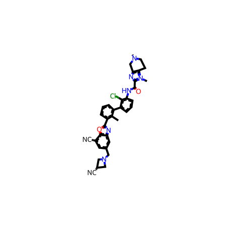 Cc1c(-c2nc3cc(CN4CC(C#N)C4)cc(C#N)c3o2)cccc1-c1cccc(NC(=O)c2nc3c(n2C)CCN(C)C3)c1Cl